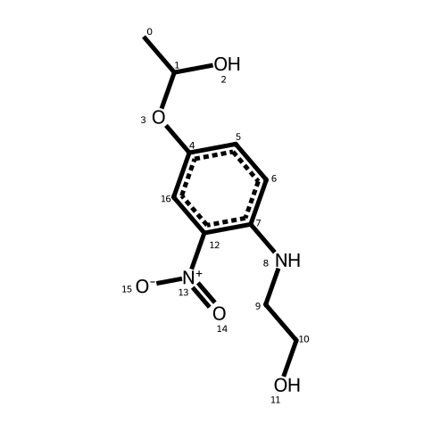 CC(O)Oc1ccc(NCCO)c([N+](=O)[O-])c1